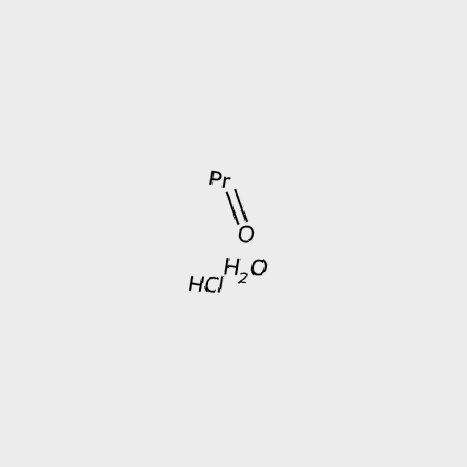 Cl.O.[O]=[Pr]